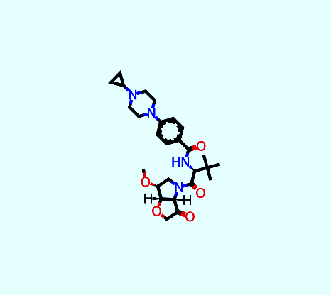 CO[C@H]1CN(C(=O)[C@@H](NC(=O)c2ccc(N3CCN(C4CC4)CC3)cc2)C(C)(C)C)[C@@H]2C(=O)CO[C@H]12